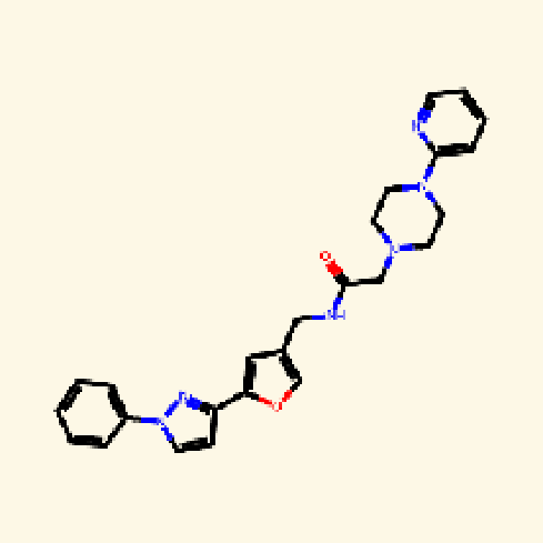 O=C(CN1CCN(c2ccccn2)CC1)NCc1coc(-c2ccn(-c3ccccc3)n2)c1